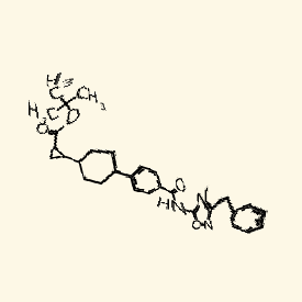 CC(C)(C)OC(=O)C1CC1C1CCC(c2ccc(C(=O)Nc3nc(Cc4ccccc4)no3)cc2)CC1